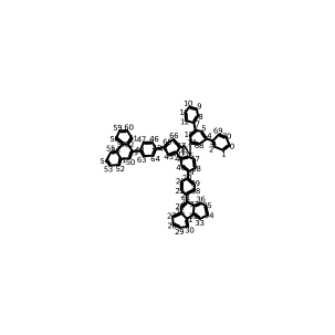 c1ccc(-c2cc(-c3ccccc3)cc(-n3c4ccc(-c5ccc(-c6cc7ccccc7c7ccccc67)cc5)cc4c4cc(-c5ccc(-c6cc7ccccc7c7ccccc67)cc5)ccc43)c2)cc1